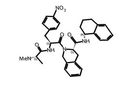 CN[C@@H](C)C(=O)N[C@@H](Cc1ccc([N+](=O)[O-])cc1)C(=O)N1Cc2ccccc2C[C@H]1C(=O)N[C@@H]1CCCc2ccccc21